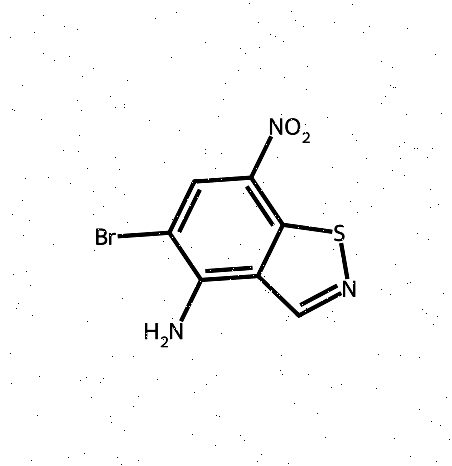 Nc1c(Br)cc([N+](=O)[O-])c2sncc12